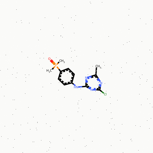 Cc1nc(Cl)nc(Nc2ccc(P(C)(C)=O)cc2)n1